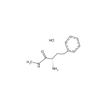 CNC(=O)[C@@H](N)CCc1ccccc1.Cl